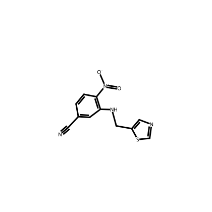 N#Cc1ccc([N+](=O)[O-])c(NCc2cncs2)c1